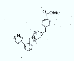 COC(=O)c1ccc(CN2C[C@@H](C)N(Cc3ccccc3-c3cccnc3)[C@@H](C)C2)cc1